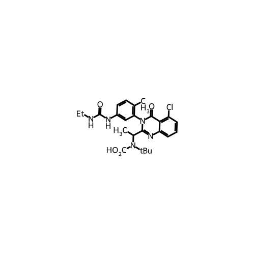 CCNC(=O)Nc1ccc(C)c(-n2c(C(C)N(C(=O)O)C(C)(C)C)nc3cccc(Cl)c3c2=O)c1